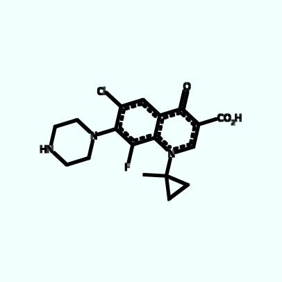 CC1(n2cc(C(=O)O)c(=O)c3cc(Cl)c(N4CCNCC4)c(F)c32)CC1